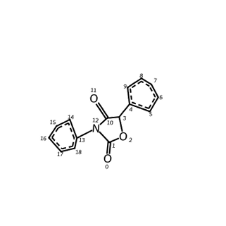 O=C1OC(c2ccccc2)C(=O)N1c1ccccc1